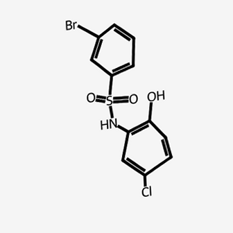 O=S(=O)(Nc1cc(Cl)ccc1O)c1cccc(Br)c1